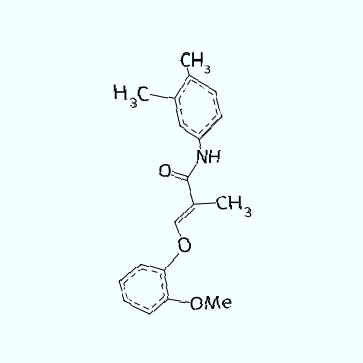 COc1ccccc1O/C=C(\C)C(=O)Nc1ccc(C)c(C)c1